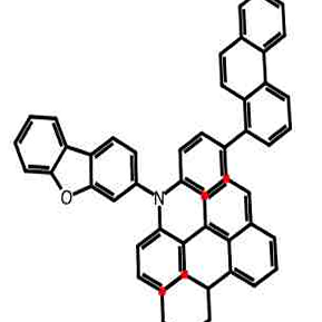 c1ccc(N(c2ccc(-c3cccc4c3ccc3ccccc34)cc2)c2ccc3c(c2)oc2ccccc23)c(-c2cccc3cccc(C4CCCCC4)c23)c1